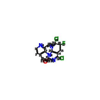 CCCCCc1ccnc(C(C)C)c1-n1c(=O)nc(Cl)c2cc(F)c(Cl)nc21